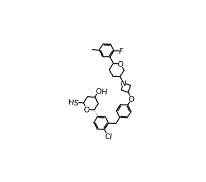 Cc1ccc(F)c(C2CCC(N3CC(Oc4ccc(Cc5cc([C@H]6CC(O)CC(S)O6)ccc5Cl)cc4)C3)CO2)c1